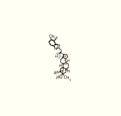 COC[C@]12CC[C@@](C)(O)C[C@H]1CC[C@H]1[C@@H]3CC[C@H](C(=O)Cn4nc5ccc(C)c(F)c5n4)[C@@]3(C)CC[C@@H]12